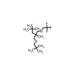 CC(C)(C)COCC(C)(COCC(F)(F)F)CC(C)(C)C